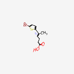 C/C(=C\CCC(=O)O)c1ccc(Br)s1